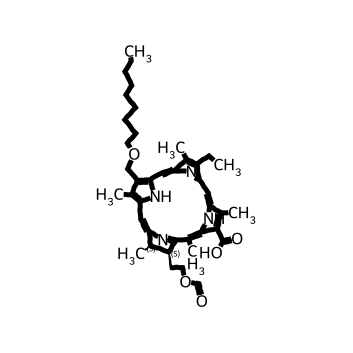 CCCCCCCCCOCc1c(C)c2cc3nc(c(C)c4[nH]c(cc5nc(cc1[nH]2)C(C)=C5CC)c(C)c4C(=O)O)[C@@H](CCOC=O)[C@@H]3C